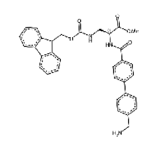 COC(=O)[C@H](CNC(=O)OCC1c2ccccc2-c2ccccc21)NC(=O)c1ccc(-c2ccc(CN)cc2)cc1